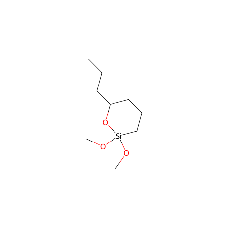 CCCC1CCC[Si](OC)(OC)O1